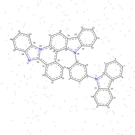 c1cc(-n2c3ccccc3c3ccccc32)cc(-n2c3ccccc3c3ccc4c(c5ccccc5c5nc6ccccc6n45)c32)c1